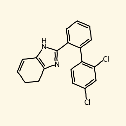 Clc1ccc(-c2ccccc2-c2nc3c([nH]2)C=CCC3)c(Cl)c1